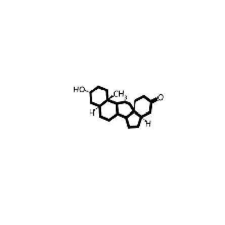 C[C@]12CC[C@@H](O)C[C@@H]1CCC1C3CC[C@@H]4CC(=O)CC[C@]34CCC12